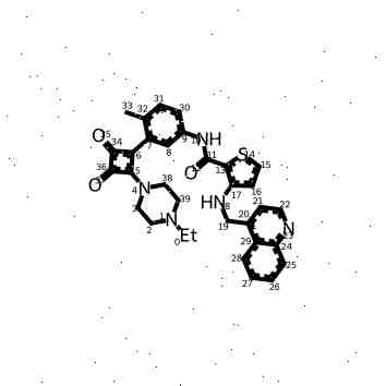 CCN1CCN(c2c(-c3cc(NC(=O)c4sccc4NCc4ccnc5ccccc45)ccc3C)c(=O)c2=O)CC1